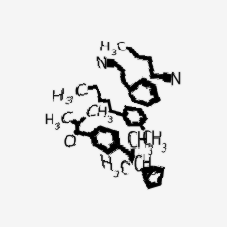 CC(C)C(=O)c1ccc(C(C)(C)C)cc1.CC=CCCC#N.CCCCCc1cccc(C)c1.N#CC=Cc1ccccc1.c1cc2cc-2c1